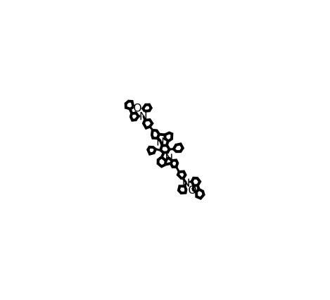 c1ccc(-c2c3c4cccc5c6cc(-c7ccc(N(c8ccccc8)c8cccc9c8oc8ccccc89)cc7)ccc6n(c3c(-c3ccccc3)c3c6cccc7c8cc(-c9ccc(N(c%10ccccc%10)c%10cccc%11c%10oc%10ccccc%10%11)cc9)ccc8n(c23)c76)c54)cc1